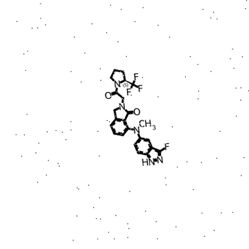 CN(c1ccc2[nH]nc(F)c2c1)c1cccc2c1C(=O)N(CC(=O)N1CCC[C@H]1C(F)(F)F)C2